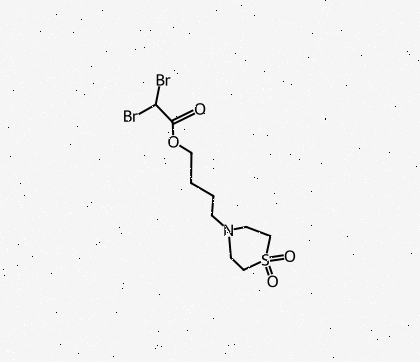 O=C(OCCCCN1CCS(=O)(=O)CC1)C(Br)Br